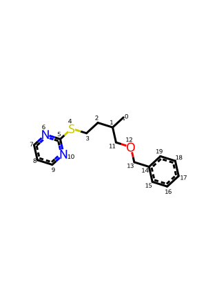 [CH2]C(CCSc1ncccn1)COCc1ccccc1